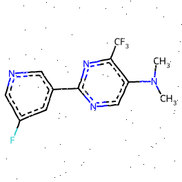 CN(C)c1cnc(-c2cncc(F)c2)nc1C(F)(F)F